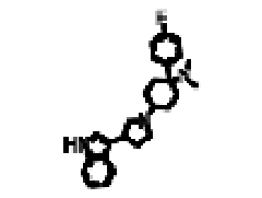 CN(C)C1(c2ccc(F)cc2)CCC(N2CCC(c3c[nH]c4ccccc34)C2)CC1